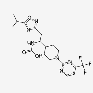 CC(C)c1nc(CC(NC(=O)O)C2CCN(c3nccc(C(F)(F)F)n3)CC2)no1